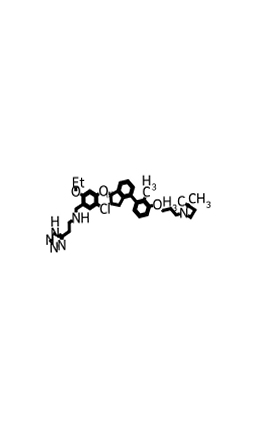 CCOc1cc(O[C@H]2CCc3c(-c4cccc(OCCCN5CCC5(C)C)c4C)cccc32)c(Cl)cc1CNCCc1nnn[nH]1